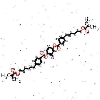 C=C(C)C(=O)OCCCCCCc1ccc(C(=O)Oc2ccc(OC(=O)c3ccc(CCCCCCOC(=O)C(=C)C)cc3)c(I)c2)cc1